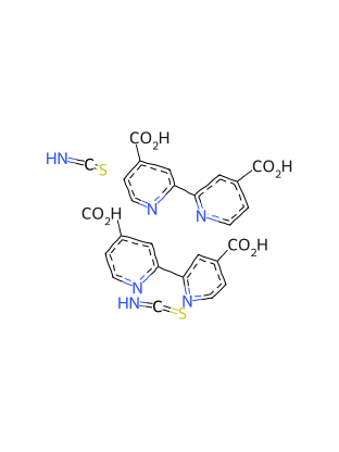 N=C=S.N=C=S.O=C(O)c1ccnc(-c2cc(C(=O)O)ccn2)c1.O=C(O)c1ccnc(-c2cc(C(=O)O)ccn2)c1